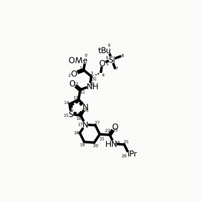 COC(=O)[C@H](CO[Si](C)(C)C(C)(C)C)NC(=O)c1csc(N2CCCC(C(=O)NCC(C)C)C2)n1